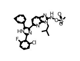 CC(C)Cn1c(NOS(C)(=O)=O)nc2ccc(-c3nc(-c4c(F)cccc4Cl)[nH]c3-c3ccccc3)nc21